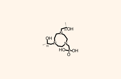 C[C@H](O)CN1CCN(C[C@H](C)O)CCN(CP(=O)(O)O)CC1